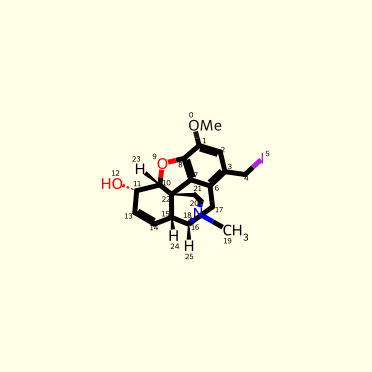 COc1cc(CI)c2c3c1O[C@H]1[C@@H](O)C=C[C@H]4[C@@H](C2)N(C)CC[C@@]341